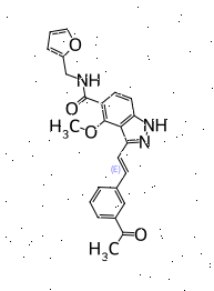 COc1c(C(=O)NCc2ccco2)ccc2[nH]nc(/C=C/c3cccc(C(C)=O)c3)c12